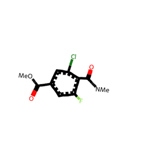 CNC(=O)c1c(F)cc(C(=O)OC)cc1Cl